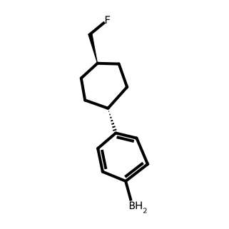 Bc1ccc([C@H]2CC[C@H](CF)CC2)cc1